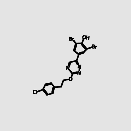 Oc1c(Br)cc(-c2cnc(OCCc3ccc(Cl)cc3)nn2)cc1Br